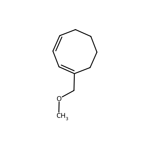 COCC1=CC=CCCCC1